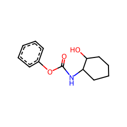 O=C(NC1CCCCC1O)Oc1ccccc1